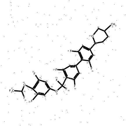 CC1CCC(c2cc(F)c(-c3cc(F)c(C(F)(F)Oc4cc(F)c(OC(F)C(F)(F)F)c(F)c4)c(F)c3)c(F)c2)OC1